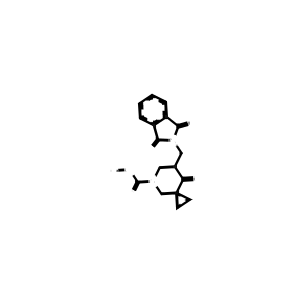 CC(C)(C)OC(=O)N1CC(CN2C(=O)c3ccccc3C2=O)C(=O)C2(CC2)C1